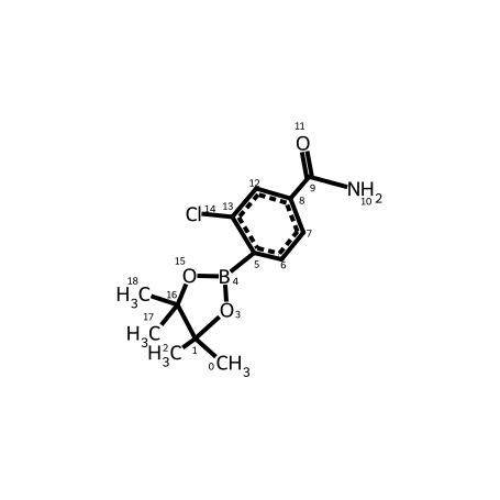 CC1(C)OB(c2ccc(C(N)=O)cc2Cl)OC1(C)C